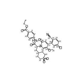 CCOC(=O)c1ccc(NC(=O)C(CC2CCS(=O)(=O)CC2)n2cc(OC)c(-c3cc(Cl)ccc3C#N)cc2=O)cc1